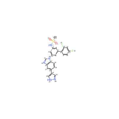 CCS(=O)(=O)Nc1cc(-c2ccc(F)cc2F)cc(-n2cnc3cc(-c4cn[nH]c4)ccc32)c1